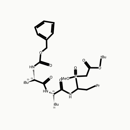 CC[C@H](C)[C@H](NC(=O)OCc1ccccc1)C(=O)N[C@H](C(=O)NC(CC(C)C)P(=O)(CC(=O)OC(C)(C)C)OC)[C@@H](C)CC